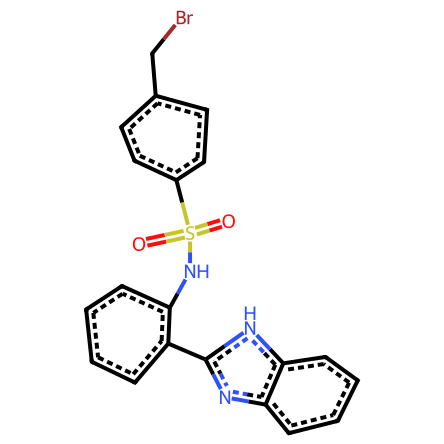 O=S(=O)(Nc1ccccc1-c1nc2ccccc2[nH]1)c1ccc(CBr)cc1